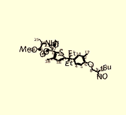 CCC(CC)(c1ccc(OCC(N=O)C(C)(C)C)c(C)c1)c1cc(C)c(S(=O)(=O)N[C@H](C)C(=O)OC)s1